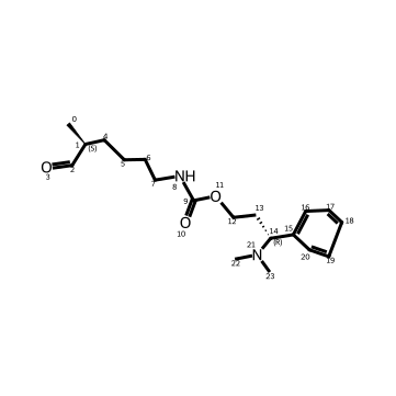 C[C@H](C=O)CCCCNC(=O)OCC[C@H](c1ccccc1)N(C)C